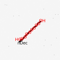 CCCCCCCCCCCCC(O)COCCOCCOCCOCCOCCOCCOCCOCCO